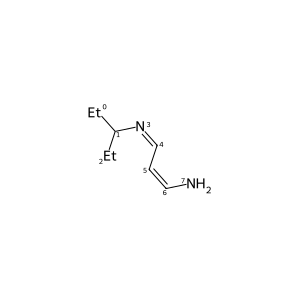 CCC(CC)/N=C\C=C/N